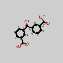 O=C(Br)c1cccc(C(=O)c2cccc(C(=O)Br)c2)c1